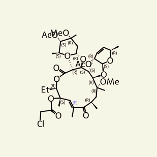 CC[C@H]1OC(=O)[C@H](C)[C@@H](O[C@H]2C[C@@](C)(OC)[C@@H](OC(C)=O)[C@H](C)O2)[C@H](C)[C@@H](O[C@@H]2O[C@H](C)C=C[C@H]2OC(C)=O)[C@](C)(OC)C[C@@H](C)C(=O)/C(C)=C/[C@]1(C)OC(=O)CCl